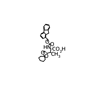 C[C@@H]([C@@H]1COC2(CCCCC2)O1)[C@H](NC(=O)OCc1cccc2c1Cc1ccccc1-2)C(=O)O